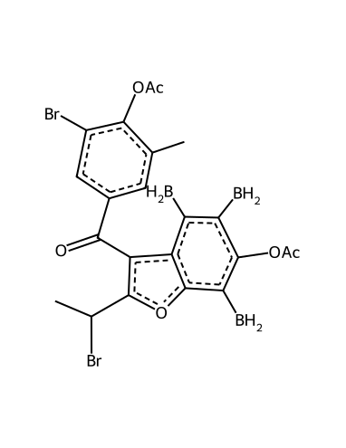 Bc1c(OC(C)=O)c(B)c2oc(C(C)Br)c(C(=O)c3cc(C)c(OC(C)=O)c(Br)c3)c2c1B